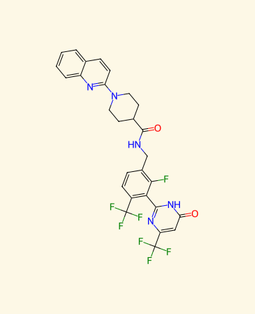 O=C(NCc1ccc(C(F)(F)F)c(-c2nc(C(F)(F)F)cc(=O)[nH]2)c1F)C1CCN(c2ccc3ccccc3n2)CC1